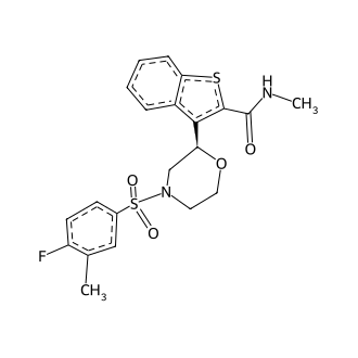 CNC(=O)c1sc2ccccc2c1[C@@H]1CN(S(=O)(=O)c2ccc(F)c(C)c2)CCO1